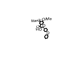 COc1cc2oc(-c3ccc(Oc4ccccc4)cc3)c(O)c(=O)c2cc1OC